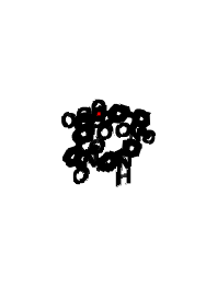 O=C1OC(=O)c2cc(-c3cccc4c3C(=O)N(c3ccc5[nH]c6ccc(N7C(=O)c8cccc(-c9ccc%10c(c9)C(=O)OC%10=O)c8C7=O)cc6c5c3)C4=O)ccc21